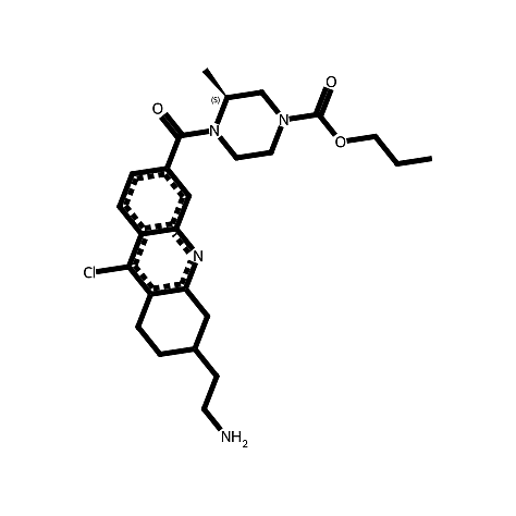 CCCOC(=O)N1CCN(C(=O)c2ccc3c(Cl)c4c(nc3c2)CC(CCN)CC4)[C@@H](C)C1